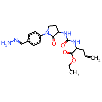 C=CCC(NC(=O)NC1CCN(c2ccc(C=NN)cc2)C1=O)C(=O)OCC